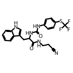 N#CCCNC(=O)C(Cc1c[nH]c2ccccc12)NC(=O)Nc1ccc(SC(F)(F)F)cc1